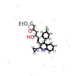 CCOC(=O)CC(=O)CC(O)C=Cc1c(C2CC2)nc2ccccc2c1-c1ccc(F)cc1